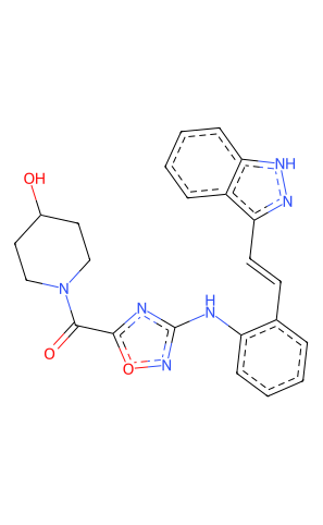 O=C(c1nc(Nc2ccccc2C=Cc2n[nH]c3ccccc23)no1)N1CCC(O)CC1